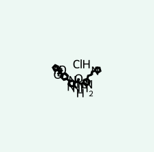 Cl.Nc1ncc(-c2ccc(S(=O)(=O)N3CCCC3)cc2)nc1C(=O)Nc1cncc(CCCN2CCCC2)c1